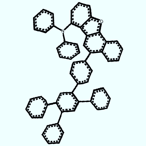 c1ccc(-c2cc(-c3ccccc3)c(-c3ccc(-c4cc5c(oc6cccc(N(c7ccccc7)c7ccccc7)c65)c5ccccc45)cc3)cc2-c2ccccc2)cc1